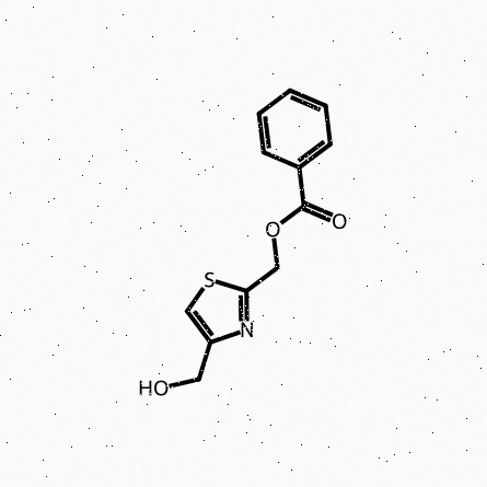 O=C(OCc1nc(CO)cs1)c1ccccc1